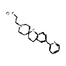 O=CCCN1CCC2(CCc3cc(-c4ccccn4)ccc3O2)CC1